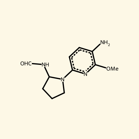 COc1nc(N2CCCC2NC=O)ccc1N